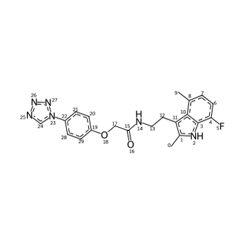 Cc1[nH]c2c(F)ccc(C)c2c1CCNC(=O)COc1ccc(-n2cnnn2)cc1